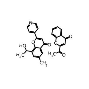 CC(=O)c1cc(=O)c2ccccc2o1.Cc1cc(C(C)O)c2oc(-c3ccncc3)cc(=O)c2c1